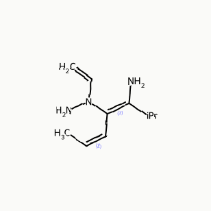 C=CN(N)C(/C=C\C)=C(\N)C(C)C